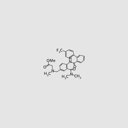 COC(=O)CN(C)Cc1ccc(NC(=O)c2ccccc2-c2ccc(C(F)(F)F)cc2)c(C(=O)N(C)C)c1